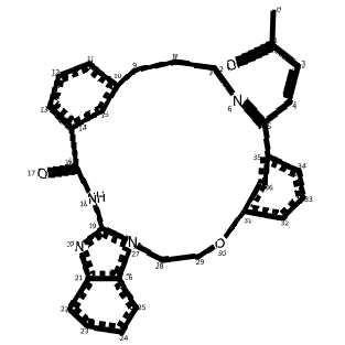 CC(=O)/C=C\C1=N/CCCc2cccc(c2)C(=O)Nc2nc3ccccc3n2CCOc2cccc1c2